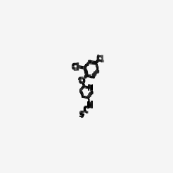 S=C=Nc1ccc(Oc2ccc(Cl)cc2Cl)nc1